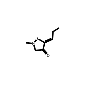 CCC=C1SN(C)CC1=O